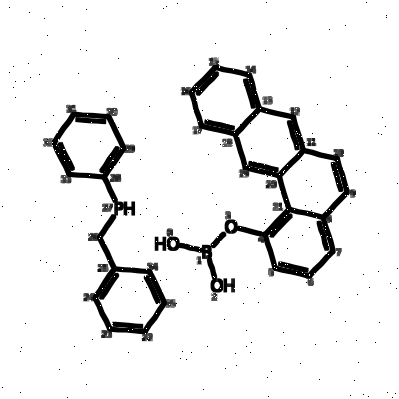 OB(O)Oc1cccc2ccc3cc4ccccc4cc3c12.c1ccc(CPc2ccccc2)cc1